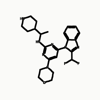 CC(Nc1nc(N2CCOCC2)cc(-n2c(C(F)F)nc3ccccc32)n1)C1CCNCC1